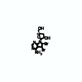 Nc1ncnc2c1c(Br)c(Br)n2[C@@H]1O[C@H](CO)C[C@H]1O